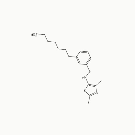 Cc1nc(C)c(NSc2cccc(CCCCCCC(=O)O)c2)s1